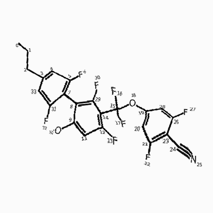 CCCc1cc(F)c(-c2c([O])cc(F)c(C(F)(F)Oc3cc(F)c(C#N)c(F)c3)c2F)c(F)c1